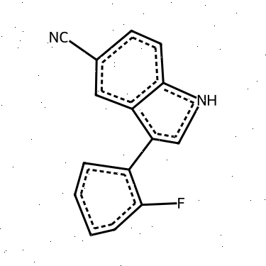 N#Cc1ccc2[nH]cc(-c3ccccc3F)c2c1